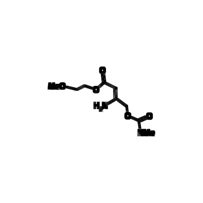 CNC(=O)OCC(N)=CC(=O)OCCOC